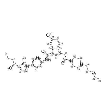 CCCC(=O)c1cnn(-c2ccc(NC(=O)c3cn(CC(=O)N4CCN(CCOCC)CC4)c4ccc(Cl)cc34)nn2)c1C